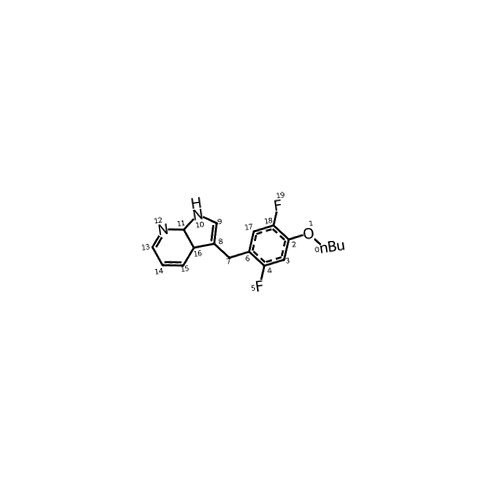 CCCCOc1cc(F)c(CC2=CNC3N=CC=CC23)cc1F